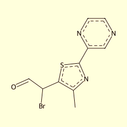 Cc1nc(-c2cnccn2)sc1C(Br)C=O